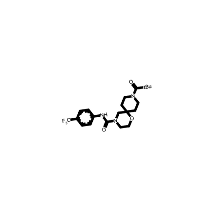 CC(C)(C)C(=O)N1CCC2(CC1)CN(C(=O)Nc1ccc(C(F)(F)F)cc1)CCO2